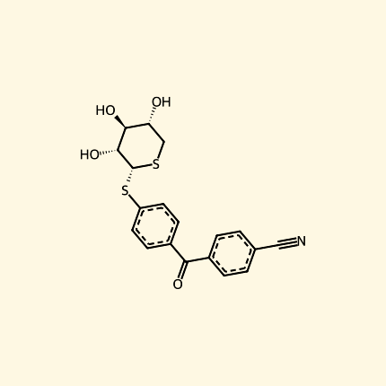 N#Cc1ccc(C(=O)c2ccc(S[C@H]3SC[C@@H](O)[C@H](O)[C@H]3O)cc2)cc1